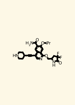 CC(C)Oc1cc2c(OCC3CC(F)(F)C(=O)N3)ncc(C#CC3CCNCC3)c2cc1C(N)=O